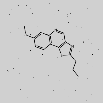 CCCc1nc2cnc3cc(OC)ccc3c2s1